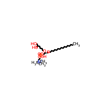 CCCCCCCCCCCCCCCCOC[C@H](COP(=O)(O)OCC[N+](C)(C)C)OCCCCC(O)CO